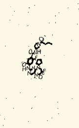 CCCC(=O)N1CC[C@@H](NC(=O)c2cc(OC)c(Nc3ncc4c(n3)N(C3CCCC3)CC(F)(F)C(=O)N4C)cc2F)C1